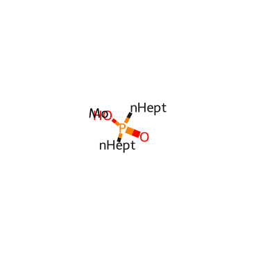 CCCCCCCP(=O)(O)CCCCCCC.[Mo]